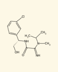 CC(C)N(C)C(=N)C(=O)N[C@H](CO)c1cccc(Cl)c1